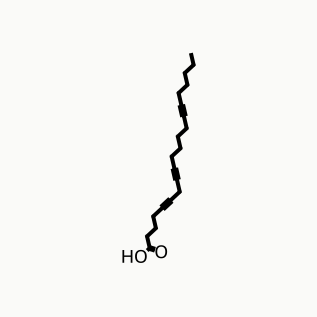 CCCCCC#CCCCCC#CCC#CCCCC(=O)O